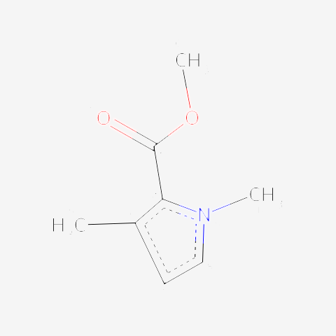 COC(=O)c1c(C)ccn1C